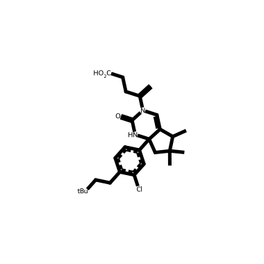 C=C(CCC(=O)O)N1C=C2C(C)C(C)(C)CC2(c2ccc(CCC(C)(C)C)c(Cl)c2)NC1=O